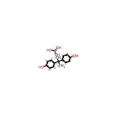 CC(C)(c1ccc(O)cc1)c1ccc(O)cc1.OB(O)O